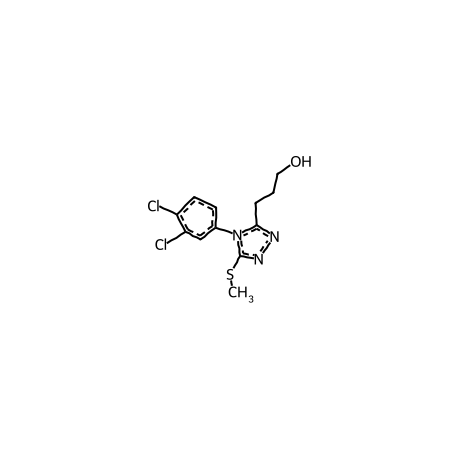 CSc1nnc(CCCO)n1-c1ccc(Cl)c(Cl)c1